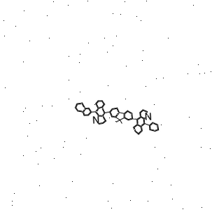 CC1(C)c2cc(-c3c4ccccc4c(-c4ccccc4)c4ncccc34)ccc2-c2ccc(-c3c4ccccc4c(-c4ccc5ccccc5c4)c4ncccc34)cc21